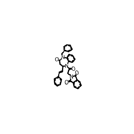 O=C1c2ccccc2C(=O)N1CC(=O)N1c2ccccc2N(Cc2ccccc2)C(=O)CC1C=Cc1ccccc1